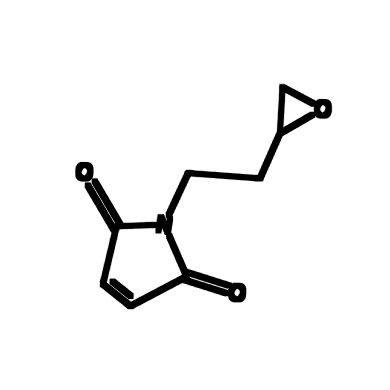 O=C1C=CC(=O)N1CCC1CO1